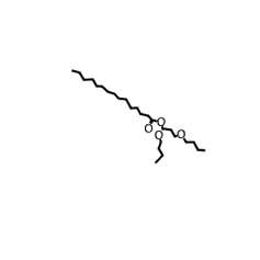 CCCCCCCCCCCCCCC(=O)OC(CCOCCCC)OCCCC